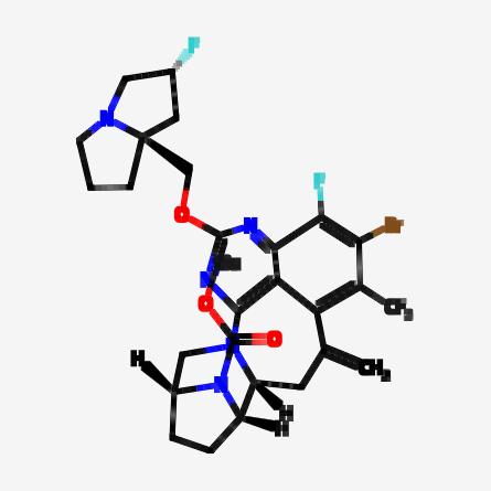 C=C1C[C@@H]2[C@@H]3CC[C@H](CN2c2nc(OC[C@@]45CCCN4C[C@H](F)C5)nc4c(F)c(Br)c(C(F)(F)F)c1c24)N3C(=O)OC(C)(C)C